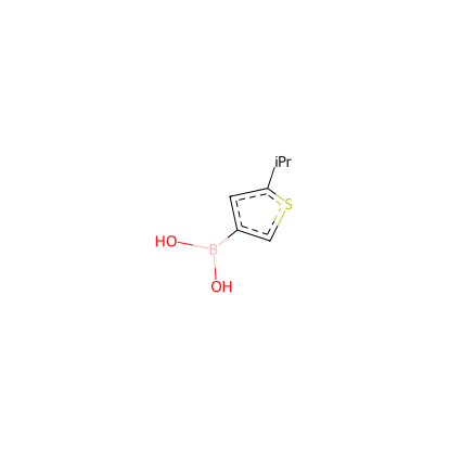 CC(C)c1cc(B(O)O)cs1